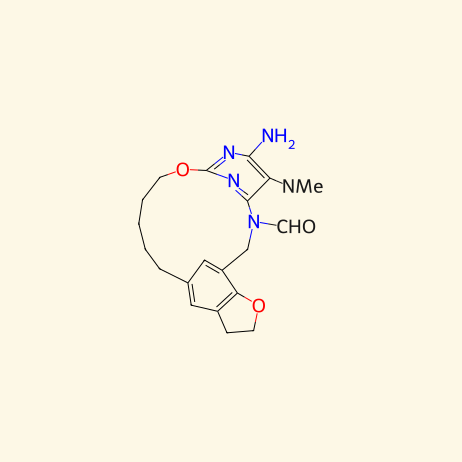 CNc1c(N)nc2nc1N(C=O)Cc1cc(cc3c1OCC3)CCCCCO2